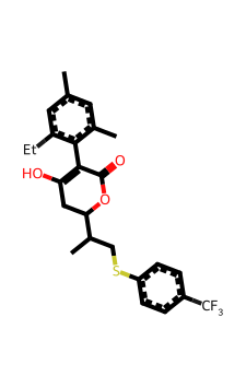 CCc1cc(C)cc(C)c1C1=C(O)CC(C(C)CSc2ccc(C(F)(F)F)cc2)OC1=O